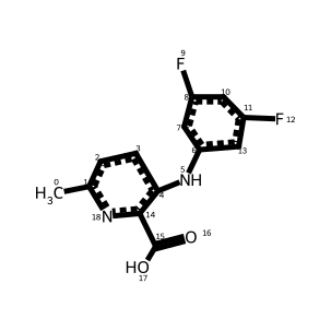 Cc1ccc(Nc2cc(F)cc(F)c2)c(C(=O)O)n1